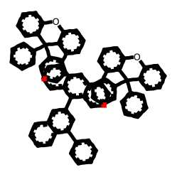 c1ccc(-c2cc(-c3c4cccc(-c5cccc6c5C(c5ccccc5)(c5ccccc5)c5ccccc5O6)c4cc4c(-c5cccc6c5C(c5ccccc5)(c5ccccc5)c5ccccc5O6)cccc34)cc3ccccc23)cc1